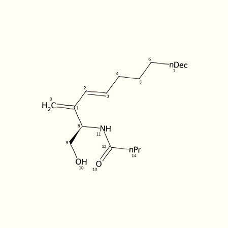 C=C(/C=C/CCCCCCCCCCCCC)[C@H](CO)NC(=O)CCC